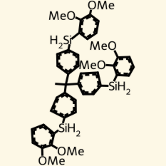 COc1cccc([SiH2]c2ccc(C(C)(c3ccc([SiH2]c4cccc(OC)c4OC)cc3)c3ccc([SiH2]c4cccc(OC)c4OC)cc3)cc2)c1OC